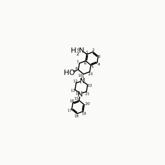 Nc1cccc2c1C[C@H](O)[C@@H](N1CCN(c3ccccc3)CC1)C2